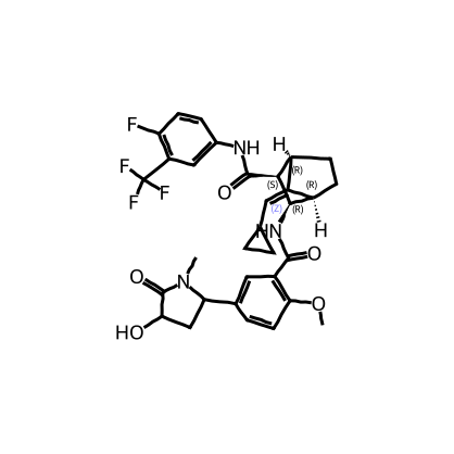 COc1ccc(C2CC(O)C(=O)N2C)cc1C(=O)N[C@H]1[C@@H](C(=O)Nc2ccc(F)c(C(F)(F)F)c2)[C@H]2CC[C@@H]1/C2=C\C1CC1